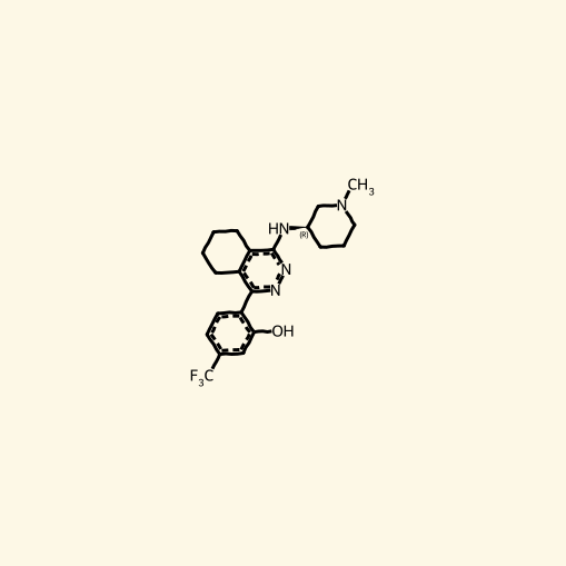 CN1CCC[C@@H](Nc2nnc(-c3ccc(C(F)(F)F)cc3O)c3c2CCCC3)C1